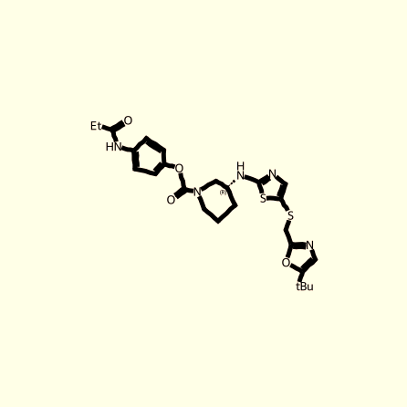 CCC(=O)Nc1ccc(OC(=O)N2CCC[C@@H](Nc3ncc(SCc4ncc(C(C)(C)C)o4)s3)C2)cc1